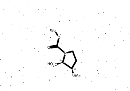 CO[C@@H]1CCN(C(=O)OC(C)(C)C)[C@@H]1C(=O)O